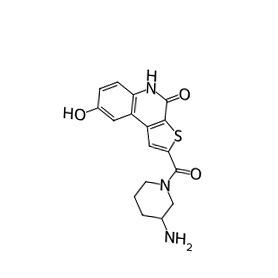 NC1CCCN(C(=O)c2cc3c(s2)c(=O)[nH]c2ccc(O)cc23)C1